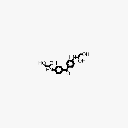 O=C(c1ccc(NC(O)CO)cc1)c1ccc(NC(O)CO)cc1